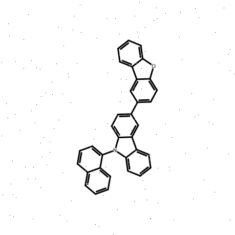 c1ccc2c(-n3c4ccccc4c4cc(-c5ccc6oc7ccccc7c6c5)ccc43)cccc2c1